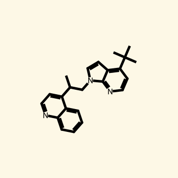 CC(Cn1ccc2c(C(C)(C)C)ccnc21)c1ccnc2ccccc12